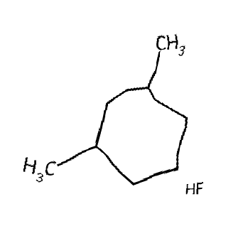 CC1CCCC(C)C1.F